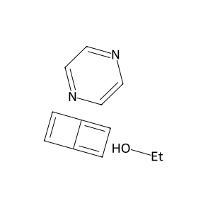 CCO.c1cc2ccc1-2.c1cnccn1